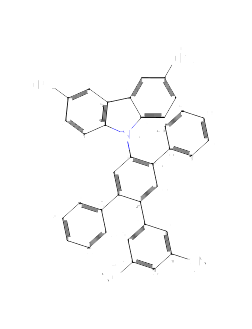 CC(C)(C)c1ccc2c(c1)c1cc(C(C)(C)C)ccc1n2-c1cc(-c2ccccc2)c(-c2cc(C#N)cc(C#N)c2)cc1-c1ccccc1